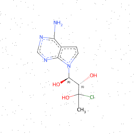 CC(O)(Cl)[C@@H](O)[C@@H](O)n1ccc2c(N)ncnc21